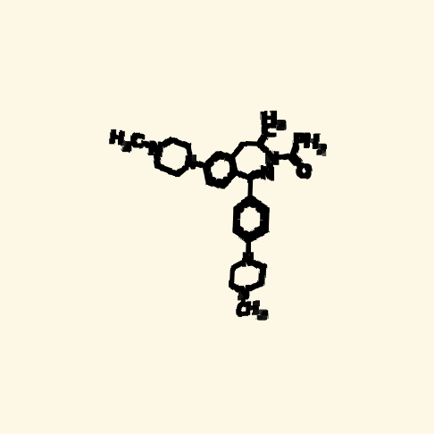 CC1Cc2cc(N3CCN(C)CC3)ccc2C(c2ccc(N3CCN(C)CC3)cc2)=NN1C(=O)P